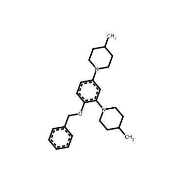 CC1CCN(c2ccc(OCc3ccccc3)c(N3CCC(C)CC3)c2)CC1